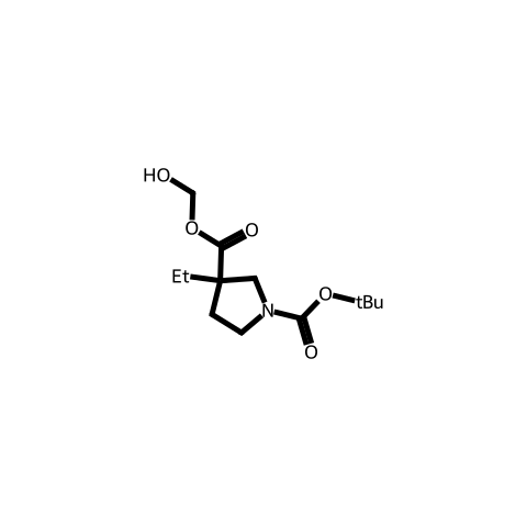 CCC1(C(=O)OCO)CCN(C(=O)OC(C)(C)C)C1